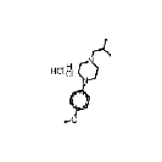 COc1ccc(N2CCN(CC(C)C)CC2)cc1.Cl.Cl